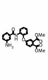 COC(=O)c1ccc(Oc2ccccc2NC(=O)c2cccc(N)c2)cc1C(=O)OC